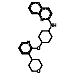 c1cnc(OC2CCC(Nc3ccc4ccccc4n3)CC2)c(C2CCOCC2)c1